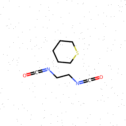 C1CCSCC1.O=C=NCCN=C=O